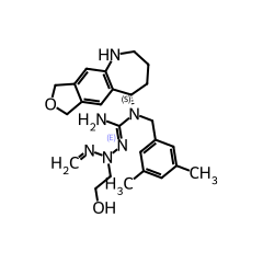 C=NN(CCO)/N=C(\N)N(Cc1cc(C)cc(C)c1)[C@H]1CCCNc2cc3c(cc21)COC3